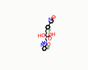 COc1ccc(-c2ccc(CC[C@@H](O)[C@H](CCn3nnc4cccc(F)c4c3=O)C(=O)O)c(F)c2)cn1